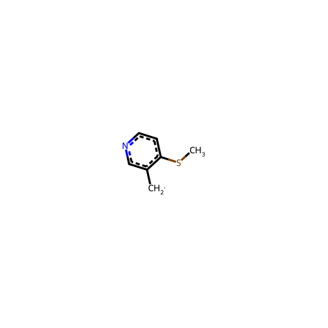 [CH2]c1cnccc1SC